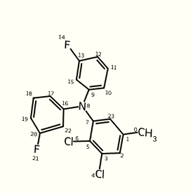 Cc1cc(Cl)c(Cl)c(N(c2cccc(F)c2)c2cccc(F)c2)c1